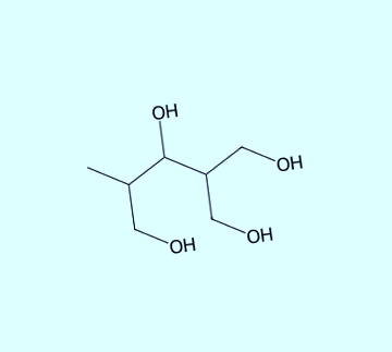 CC(CO)C(O)C(CO)CO